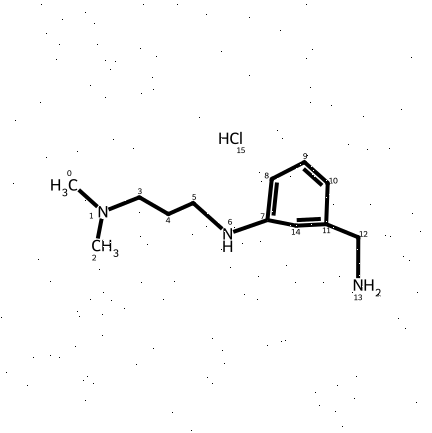 CN(C)CCCNc1cccc(CN)c1.Cl